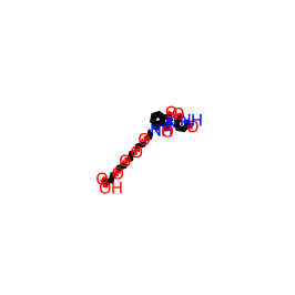 O=C(O)CCOCCOCCOCCOCCNc1cccc2c1C(=O)N(C1CCC(=O)NC1=O)C2=O